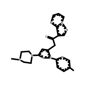 Cc1ccc(-n2nc(N3CCN(C)CC3)cc2CC(=O)c2cnn3cccnc23)nc1